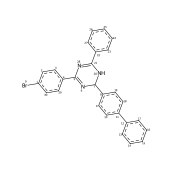 Brc1ccc(C2=NC(c3ccc(-c4ccccc4)cc3)NC(c3ccccc3)=N2)cc1